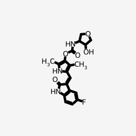 Cc1[nH]c(/C=C2\C(=O)Nc3ccc(F)cc32)c(C)c1OC(=O)NC1COCC1O